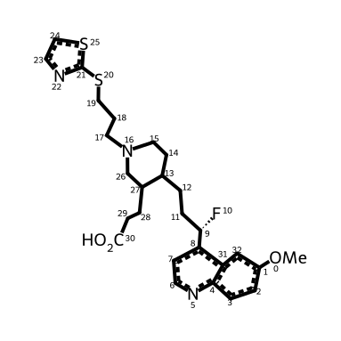 COc1ccc2nccc([C@@H](F)CCC3CCN(CCCSc4nccs4)CC3CCC(=O)O)c2c1